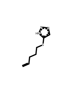 C=CCCCSc1cnn[nH]1